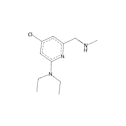 CCN(CC)c1cc(Cl)cc(CNC)n1